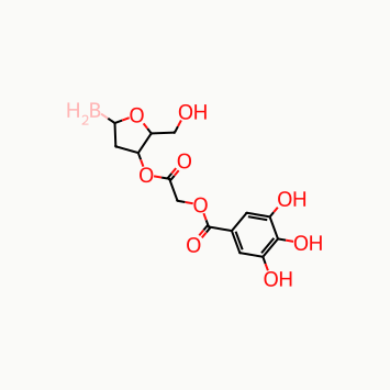 BC1CC(OC(=O)COC(=O)c2cc(O)c(O)c(O)c2)C(CO)O1